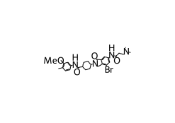 COc1cc(NC(=O)C2CCC(N3Cc4c(Br)cc(NC(=O)CCN(C)C)cc4C3=O)CC2)ccc1C